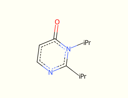 CC(C)c1nccc(=O)n1C(C)C